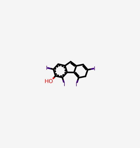 Oc1c(I)cc2c(c1I)C1=C(I)CC(I)=CC1=C2